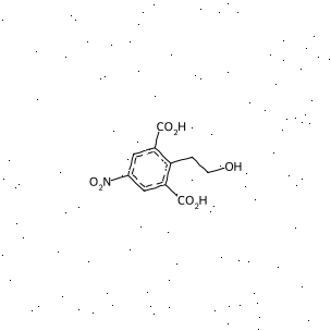 O=C(O)c1cc([N+](=O)[O-])cc(C(=O)O)c1CCO